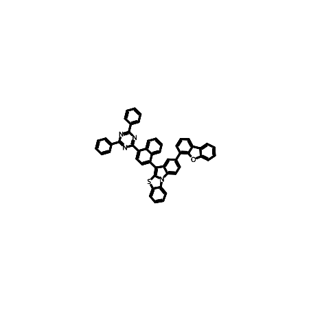 c1ccc(-c2nc(-c3ccccc3)nc(-c3ccc(-c4c5cc(-c6cccc7c6oc6ccccc67)ccc5n5c4sc4ccccc45)c4ccccc34)n2)cc1